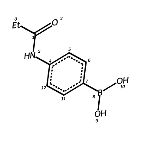 CCC(=O)Nc1ccc(B(O)O)cc1